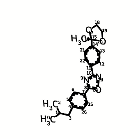 CC(C)Cc1ccc(-c2nc(-c3ccc(C4(C)OCCO4)cc3)no2)cc1